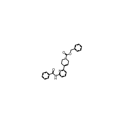 O=C(Nc1cccc(C2=CCN(C(=O)OCc3ccccc3)CC2)n1)c1ccccc1